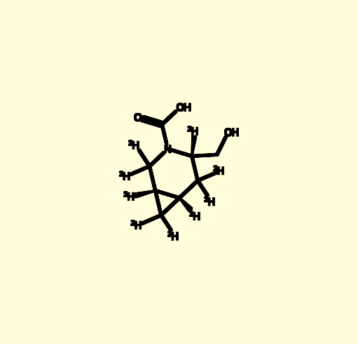 [2H]C1([2H])N(C(=O)O)[C@]([2H])(CO)C([2H])([2H])[C@]2([2H])C([2H])([2H])[C@]12[2H]